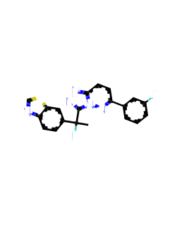 CC(F)(c1ccc2ncsc2c1)c1nnc2ccc(-c3cccc(F)c3)nn12